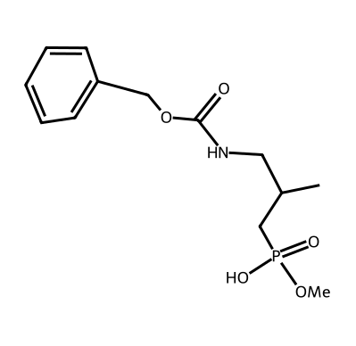 COP(=O)(O)CC(C)CNC(=O)OCc1ccccc1